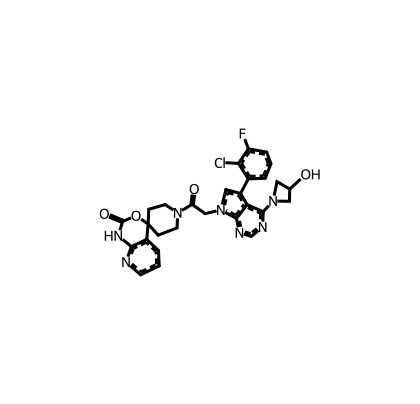 O=C1Nc2ncccc2C2(CCN(C(=O)Cn3cc(-c4cccc(F)c4Cl)c4c(N5CC(O)C5)ncnc43)CC2)O1